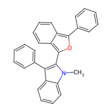 Cn1c(-c2oc(-c3ccccc3)c3ccccc23)c(-c2ccccc2)c2ccccc21